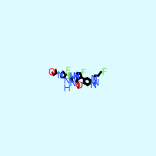 COc1nc(N[C@@H]2CN(C3COC3)CC2(F)F)nn2cc(F)c(-c3ccc4nnn(CCCF)c4c3)c12